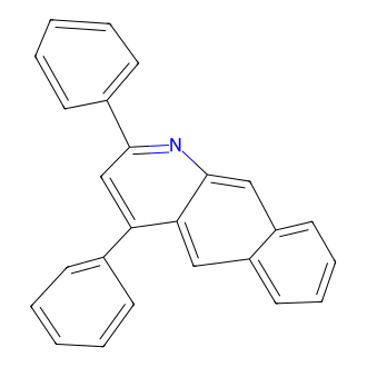 c1ccc(-c2cc(-c3ccccc3)c3cc4ccccc4cc3n2)cc1